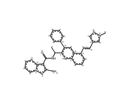 CC(NC(=O)c1c(N)nn2cccnc12)c1nc2cccc(/C=C/c3cnn(C)c3)c2cc1-c1ccccc1